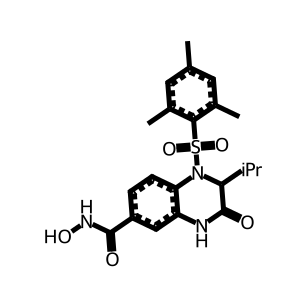 Cc1cc(C)c(S(=O)(=O)N2c3ccc(C(=O)NO)cc3NC(=O)C2C(C)C)c(C)c1